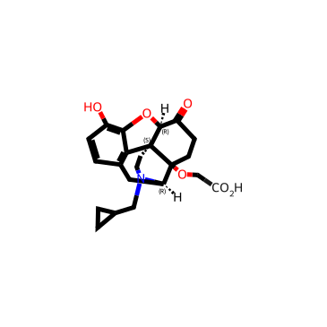 O=C(O)COC12CCC(=O)[C@@H]3Oc4c(O)ccc5c4[C@@]31CCN(CC1CC1)[C@@H]2C5